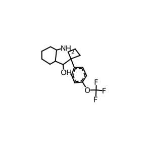 NC1CCCCC1C(O)C1(c2ccc(OC(F)(F)F)cc2)CCC1